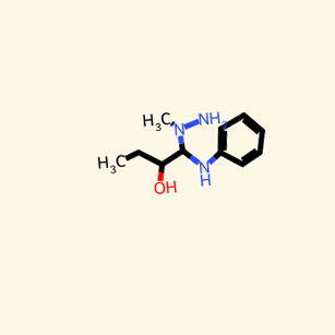 CCC(O)C(Nc1ccccc1)N(C)N